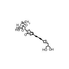 CC(CCN1Cc2cc(C#CC#CC3CN(CC(CO)CO)C3)cn2C1=O)(C(=O)NO)S(C)(=O)=O